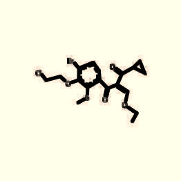 CCO/C=C(\C(=O)c1ccc(Br)c(OCCCl)c1SC)C(=O)C1CC1